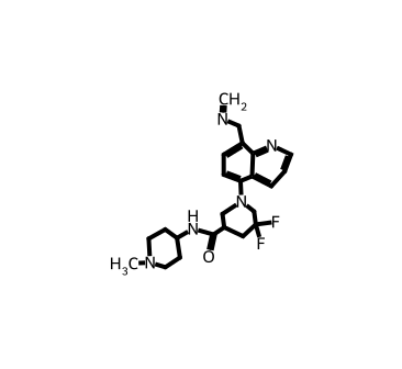 C=NCc1ccc(N2CC(C(=O)NC3CCN(C)CC3)CC(F)(F)C2)c2cccnc12